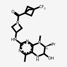 Cc1nc(NC2CN(C(=O)C34CC(C(F)(F)F)(C3)C4)C2)nc2c1NC(O)[C@H](C(C)C)N2C